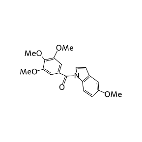 COc1ccc2c(ccn2C(=O)c2cc(OC)c(OC)c(OC)c2)c1